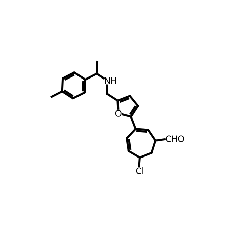 Cc1ccc(C(C)NCc2ccc(C3=CC(C=O)CC(Cl)C=C3)o2)cc1